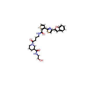 O=C(NCCCC(=O)N1CCCC(C(=O)NCCO)C1)c1sccc1-c1nc(-c2cc3ccccc3o2)cs1